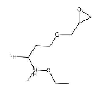 [2H]C(CCOCC1CO1)[SiH](C)OCC